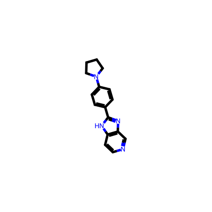 c1cc2[nH]c(-c3ccc(N4CCCC4)cc3)nc2cn1